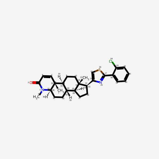 CN1C(=O)C=C[C@]2(C)[C@H]3CC[C@]4(C)[C@@H](c5csc(-c6ccccc6Cl)n5)CC[C@H]4[C@@H]3CC[C@@H]12